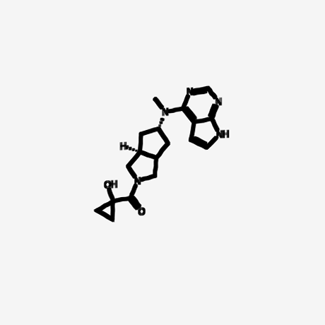 CN(c1ncnc2[nH]ccc12)[C@@H]1CC2CN(C(=O)C3(O)CC3)C[C@H]2C1